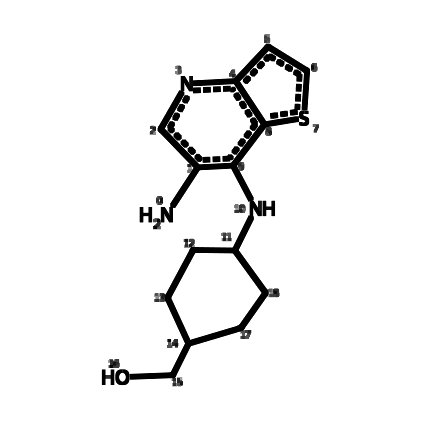 Nc1cnc2ccsc2c1NC1CCC(CO)CC1